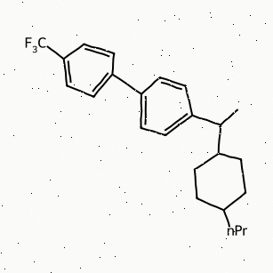 CCCC1CCC(C(C)c2ccc(-c3ccc(C(F)(F)F)cc3)cc2)CC1